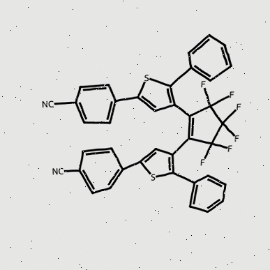 N#Cc1ccc(-c2cc(C3=C(c4cc(-c5ccc(C#N)cc5)sc4-c4ccccc4)C(F)(F)C(F)(F)C3(F)F)c(-c3ccccc3)s2)cc1